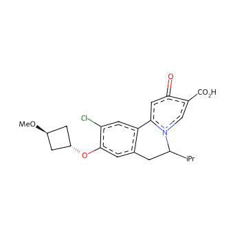 CO[C@H]1C[C@H](Oc2cc3c(cc2Cl)-c2cc(=O)c(C(=O)O)cn2C(C(C)C)C3)C1